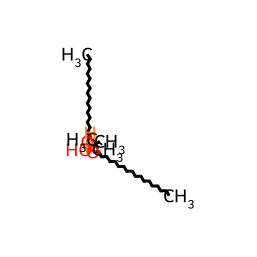 CCCCCCCCCCCCCCCCCCO[PH](O)(OCCCCCCCCCCCCCCCCCC)C(C)(C)C